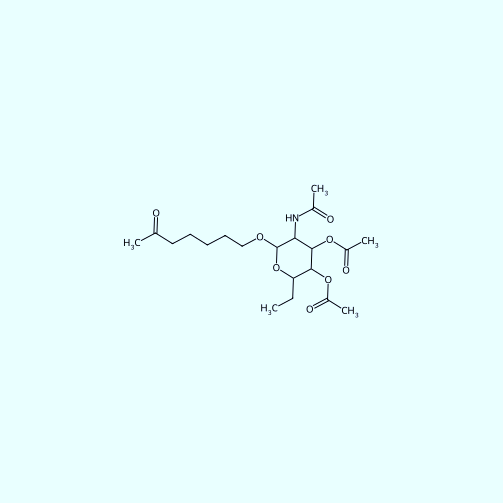 CCC1OC(OCCCCCC(C)=O)C(NC(C)=O)C(OC(C)=O)C1OC(C)=O